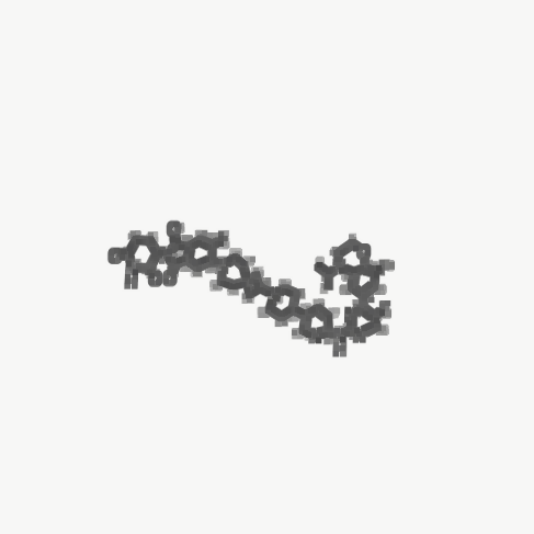 CC(C)N1CCOc2c(F)cc(-c3nc(Nc4ccc(C5CCN(C6CC7(CCN(c8cc9c(cc8F)C(=O)N(C8CCC(=O)NC8=O)C9=O)CC7)C6)CC5)cn4)ncc3F)cc21